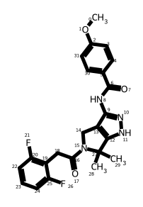 COc1ccc(C(=O)Nc2n[nH]c3c2CN(C(=O)Cc2c(F)cccc2F)C3(C)C)cc1